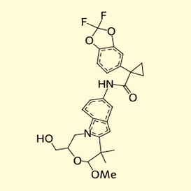 COC1OC(CO)Cn2c(cc3cc(NC(=O)C4(c5ccc6c(c5)OC(F)(F)O6)CC4)ccc32)C1(C)C